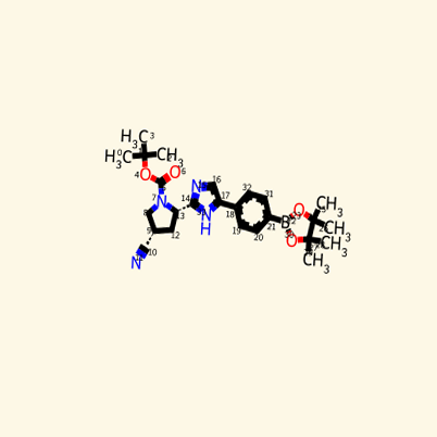 CC(C)(C)OC(=O)N1C[C@@H](C#N)C[C@H]1c1ncc(-c2ccc(B3OC(C)(C)C(C)(C)O3)cc2)[nH]1